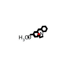 COCc1cccc(/C=C2/CCCCC2N2CCC2)c1